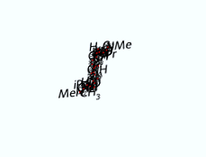 CNC(C)C(=O)NC(C(=O)N1CCC[C@H]1C(=O)N[C@@H]1CCCc2c(NC(=O)c3cccc4c3CCC[C@H]4NC(=O)[C@@H]3CCCN3C(=O)C(NC(=O)C(C)NC)C(C)C)cccc21)C(C)C